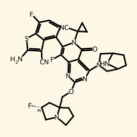 N#Cc1c(N)sc2c(F)ccc(-c3c(F)c4nc(OCC56CCCN5C[C@H](F)C6)nc(N5CC6CCC(C5)N6)c4c(=O)n3C3(C#N)CC3)c12